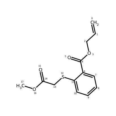 C=CCOC(=O)c1ccccc1SCC(=O)OC